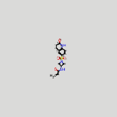 C=CC(=O)NC1CN(S(=O)(=O)c2ccc3c(c2)CCC(=O)N3)C1